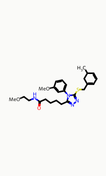 COCCNC(=O)CCCCc1nnc(SCC2=CC=CC(C)C2)n1-c1cccc(OC)c1